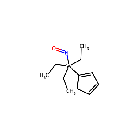 C[CH2][W]([CH2]C)([CH2]C)([N]=O)[C]1=CC=CC1